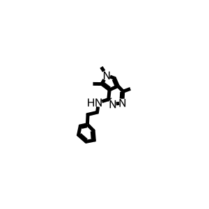 Cc1nnc(NCCc2ccccc2)c2c(C)n(C)cc12